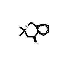 CC1(C)CC(=O)c2ccccc2CS1